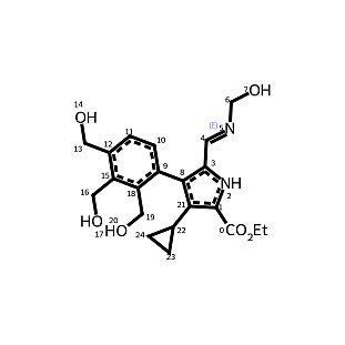 CCOC(=O)c1[nH]c(/C=N/CO)c(-c2ccc(CO)c(CO)c2CO)c1C1CC1